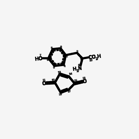 NC(Cc1ccc(O)cc1)C(=O)O.O=C1C=CC(=O)C=C1